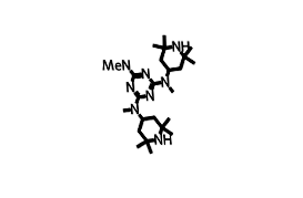 CNc1nc(N(C)C2CC(C)(C)NC(C)(C)C2)nc(N(C)C2CC(C)(C)NC(C)(C)C2)n1